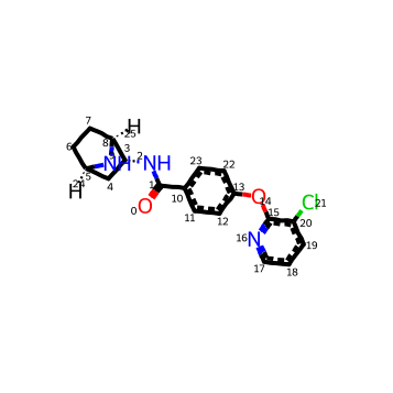 O=C(N[C@@H]1C[C@H]2CC[C@@H]1N2)c1ccc(Oc2ncccc2Cl)cc1